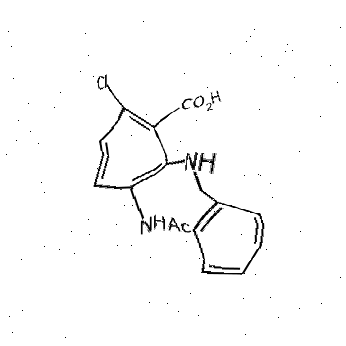 CC(=O)Nc1ccc(Cl)c(C(=O)O)c1Nc1ccccc1